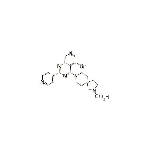 O=C(O)N1CCC2(CCN(c3nc(-c4ccncc4)nc4cncc(Br)c34)CC2)C1